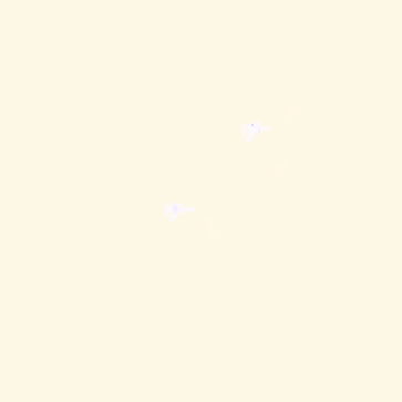 CC(C)NC(=O)c1ccc2c(c1)OCC(=O)N2